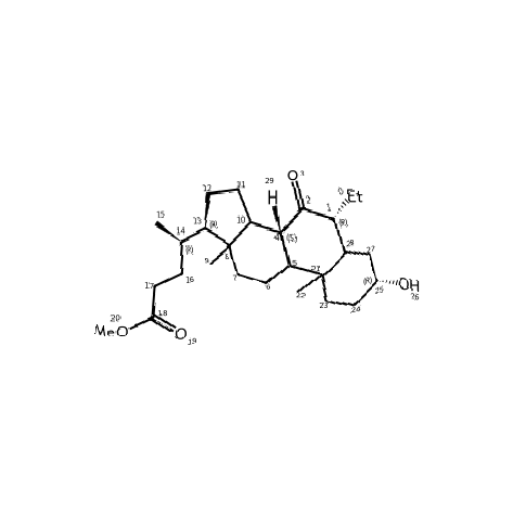 CC[C@H]1C(=O)[C@@H]2C(CCC3(C)C2CC[C@@H]3[C@H](C)CCC(=O)OC)C2(C)CC[C@@H](O)CC12